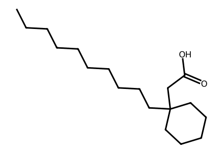 CCCCCCCCCCC1(CC(=O)O)CCCCC1